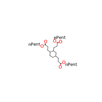 CCCCCOC(=O)CCC1CCC(CCC(=O)OCCCCC)C(CCC(=O)OCCCCC)C1